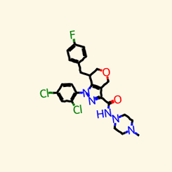 CN1CCN(NC(=O)c2nn(-c3ccc(Cl)cc3Cl)c3c2COCC3Cc2ccc(F)cc2)CC1